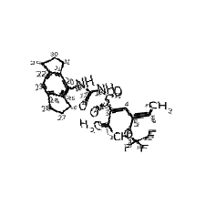 C=C(C)/C(=C\C(=C/C)OC(F)(F)F)S(=O)(=O)NC(=O)Nc1c2c(cc3c1CCC3)CCC2